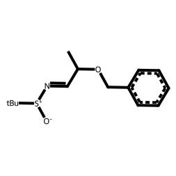 CC(/C=N/[S+]([O-])C(C)(C)C)OCc1ccccc1